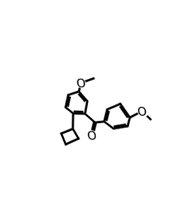 COc1ccc(C(=O)c2cc(OC)ccc2C2CCC2)cc1